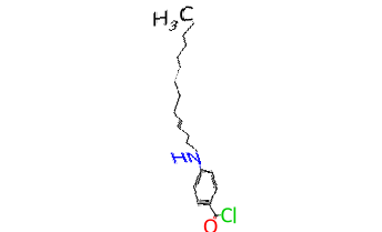 CCCCCCCCC/C=C/CCCNc1ccc(C(=O)Cl)cc1